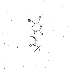 CC(=N[S+]([O-])C(C)(C)C)c1cc(Br)c(F)cc1F